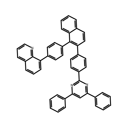 c1ccc(-c2cc(-c3ccccc3)nc(-c3ccc(-c4ccc5ccccc5c4-c4ccc(-c5cccc6cccnc56)cc4)cc3)n2)cc1